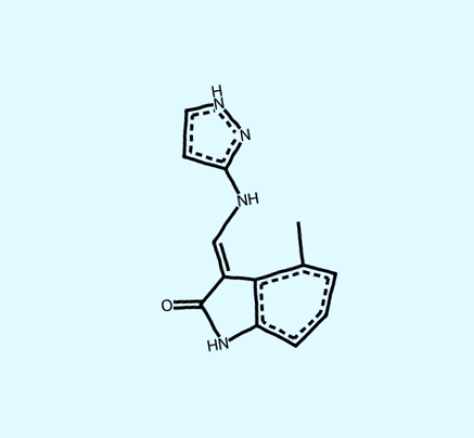 Cc1cccc2c1/C(=C\Nc1cc[nH]n1)C(=O)N2